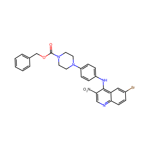 O=C(OCc1ccccc1)N1CCN(c2ccc(Nc3c([N+](=O)[O-])cnc4ccc(Br)cc34)cc2)CC1